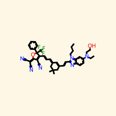 CCCCn1c(/C=C/C2=CC(=C/C=C/C3=C(C#N)C(=C(C#N)C#N)OC3(c3ccccc3)C(F)(F)F)/CC(C)(C)C2)nc2ccc(N(CC)CCO)cc21